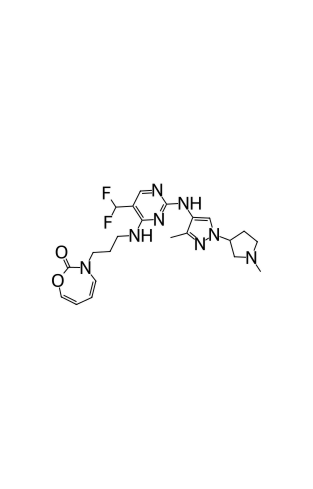 Cc1nn(C2CCN(C)C2)cc1Nc1ncc(C(F)F)c(NCCCN2C=CC=COC2=O)n1